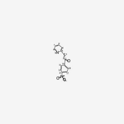 O=C(CSc1ccccn1)c1ccc([N+](=O)[O-])cc1